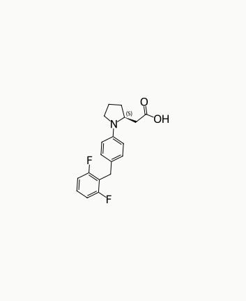 O=C(O)C[C@@H]1CCCN1c1ccc(Cc2c(F)cccc2F)cc1